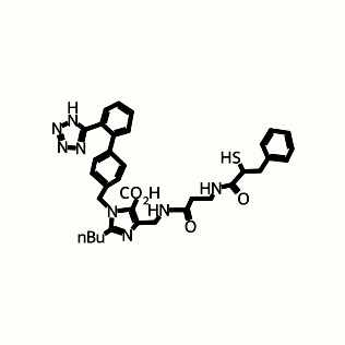 CCCCc1nc(CNC(=O)CCNC(=O)C(S)Cc2ccccc2)c(C(=O)O)n1Cc1ccc(-c2ccccc2-c2nnn[nH]2)cc1